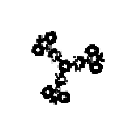 CC1(C)c2ccccc2N(c2cnc(-c3cc(-c4ncc(N5c6ccccc6C(C)(C)c6ccccc65)cn4)cc(-c4ncc(N5c6ccccc6C(C)(C)c6ccccc65)cn4)c3)nc2)c2ccccc21